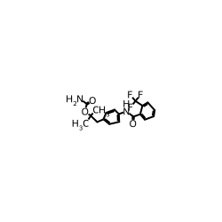 CC(C)(Cc1ccc(NC(=O)c2ccccc2C(F)(F)F)cc1)OC(N)=O